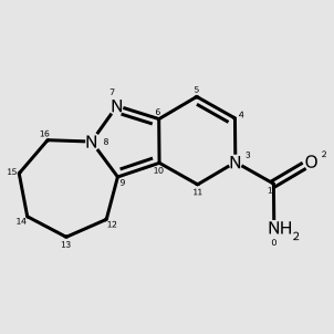 NC(=O)N1C=Cc2nn3c(c2C1)CCCCC3